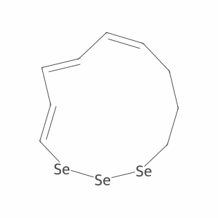 C1=C\CCC[Se][Se][Se]/C=C/C=C/1